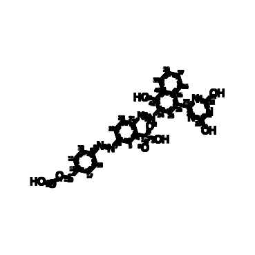 O=S(=O)(O)c1cc(/N=N/c2ccc(SOOO)cc2)ccc1/N=N/c1cc(-c2nc(O)nc(O)n2)c2ccccc2c1O